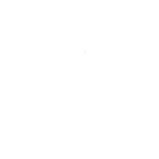 O=C(O)NCC1CC2(CNC2)C1